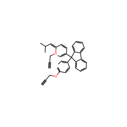 C#CCOC(=C)/C=C\C(=C/C)C1(C(/C=C\C(=C\C(C)C)OCC#C)=C/C)c2ccccc2-c2ccccc21